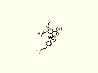 CCCc1ccc(S(=O)(=O)Nc2cc(OC)c(OC)cc2C(=O)O)cc1